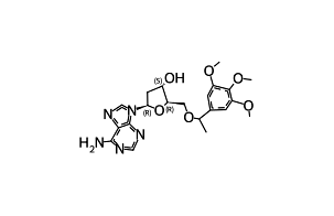 COc1cc(C(C)OC[C@H]2O[C@@H](n3cnc4c(N)ncnc43)C[C@@H]2O)cc(OC)c1OC